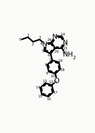 CCCCn1cc(-c2ccc(Oc3ccccc3)cc2)c2c(N)ncnc21